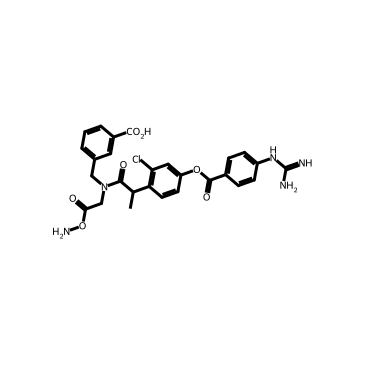 CC(C(=O)N(CC(=O)ON)Cc1cccc(C(=O)O)c1)c1ccc(OC(=O)c2ccc(NC(=N)N)cc2)cc1Cl